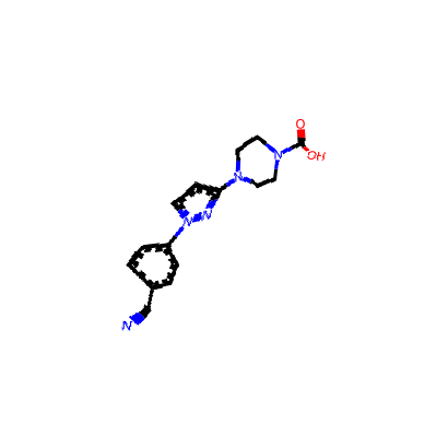 N#Cc1ccc(-n2ccc(N3CCN(C(=O)O)CC3)n2)cc1